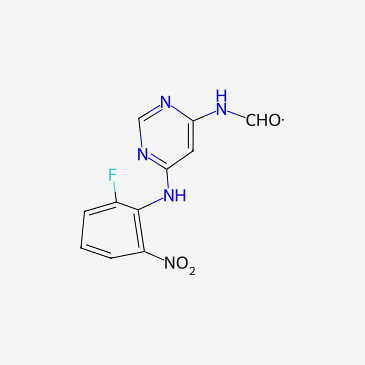 O=[C]Nc1cc(Nc2c(F)cccc2[N+](=O)[O-])ncn1